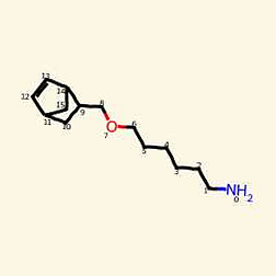 NCCCCCCOCC1CC2C=CC1C2